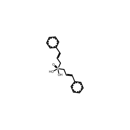 O=S(O)(O)(CC=Cc1ccccc1)CC=Cc1ccccc1